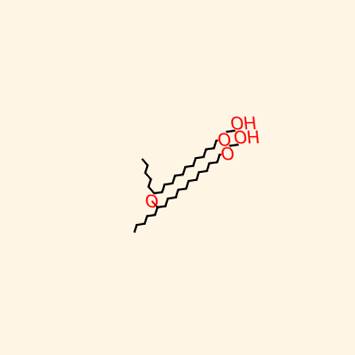 CCCCCC(CCCCCCCCCCCCOCCO)OC(CCCCC)CCCCCCCCCCCCOCCO